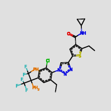 CCc1cc(C(P)(C(F)(F)F)C(F)(F)P)cc(Cl)c1-n1cc(-c2cc(C(=O)NC3CC3)c(CC)s2)nn1